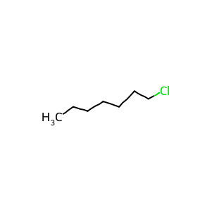 CCCCCCCCl